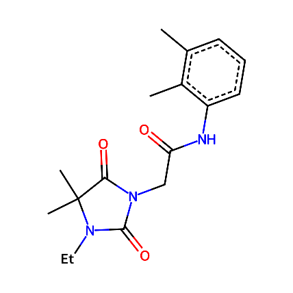 CCN1C(=O)N(CC(=O)Nc2cccc(C)c2C)C(=O)C1(C)C